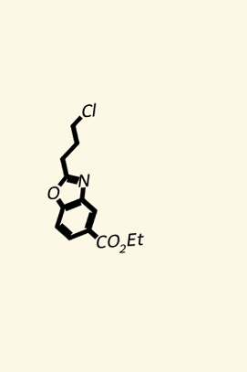 CCOC(=O)c1ccc2oc(CCCCl)nc2c1